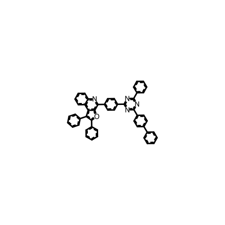 c1ccc(-c2ccc(-c3nc(-c4ccccc4)nc(-c4ccc(-c5nc6ccccc6c6c(-c7ccccc7)c(-c7ccccc7)oc56)cc4)n3)cc2)cc1